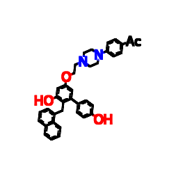 CC(=O)c1ccc(N2CCN(CCOc3cc(O)c(Cc4cccc5ccccc45)c(-c4ccc(O)cc4)c3)CC2)cc1